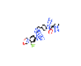 O=C(Nc1ccc(-c2ccnc(Nc3ccc(N4CCOCC4)c(CF)c3)n2)cc1)[C@H]1CCCN1